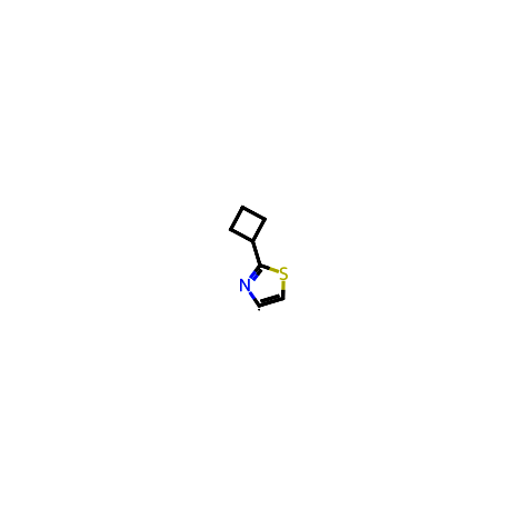 [c]1csc(C2CCC2)n1